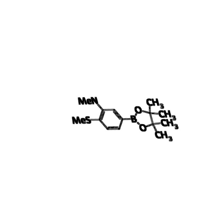 CNc1cc(B2OC(C)(C)C(C)(C)O2)ccc1SC